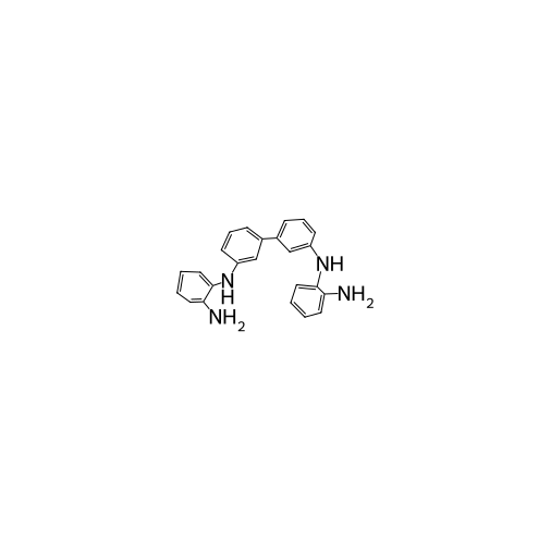 Nc1ccccc1Nc1cccc(-c2cccc(Nc3ccccc3N)c2)c1